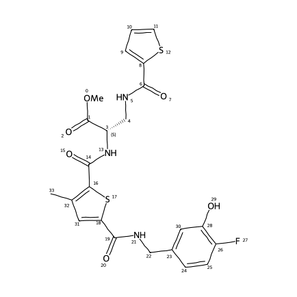 COC(=O)[C@H](CNC(=O)c1cccs1)NC(=O)c1sc(C(=O)NCc2ccc(F)c(O)c2)cc1C